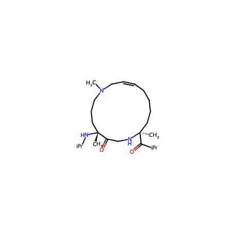 CC(C)N[C@]1(C)CCCN(C)CC=CCCCC[C@@](C)(C(=O)C(C)C)NCC1=O